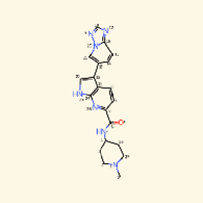 CN1CCC(NC(=O)c2ccc3c(-c4ccc5ncnn5c4)c[nH]c3n2)CC1